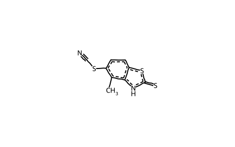 Cc1c(SC#N)ccc2sc(=S)[nH]c12